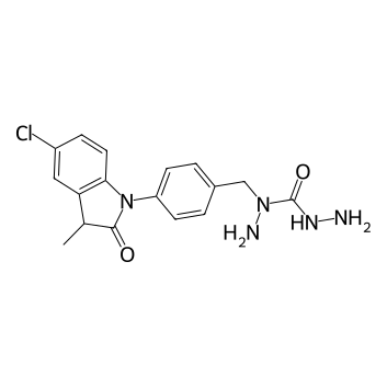 CC1C(=O)N(c2ccc(CN(N)C(=O)NN)cc2)c2ccc(Cl)cc21